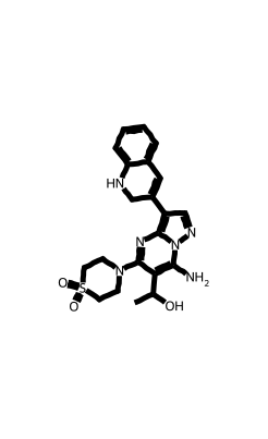 CC(O)c1c(N2CCS(=O)(=O)CC2)nc2c(C3=Cc4ccccc4NC3)cnn2c1N